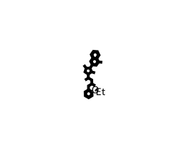 CCOc1ccccc1CC(C)CC(C)C1CC(C)C(c2cc(C)c3ccccc3c2)C1C